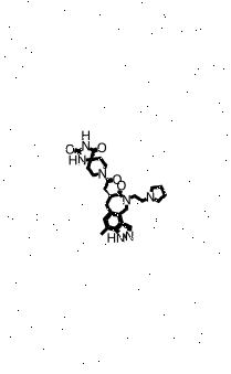 Cc1cc2c(c3cn[nH]c13)CN(CCN1CCCC1)C(=O)[C@H](CC(=O)N1CCC3(CC1)NC(=O)NC3=O)C2